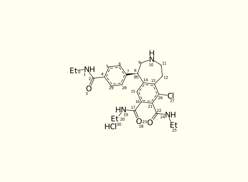 CCNC(=O)c1ccc([C@H]2CNCCc3c2cc(C(=O)NCC)c(C(=O)NCC)c3Cl)cc1.Cl